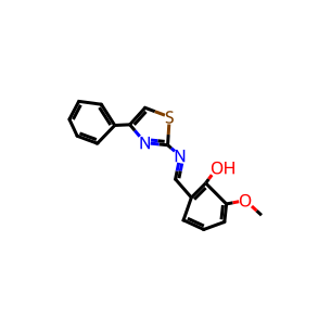 COc1cccc(C=Nc2nc(-c3ccccc3)cs2)c1O